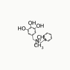 C[N+](C)(Cc1ccccc1)Cc1cc(O)c(O)c(O)c1